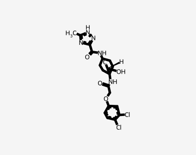 Cc1nc(C(=O)NC23CCC(NC(=O)COc4ccc(Cl)c(Cl)c4)(CC2)[C@@H](O)C3)n[nH]1